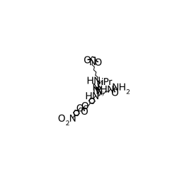 CC(C)[C@H](NCCCCCCN1C(=O)C=CC1=O)c1cn([C@@H](CCCNC(N)=O)CNc2ccc(COC(=O)Oc3ccc([N+](=O)[O-])cc3)cc2)nn1